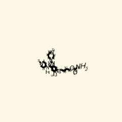 COc1cc2c(NC3CCN(C)CC3)nc(N3CCCN(C)CC3)nc2cc1OCCCCOC(N)=O